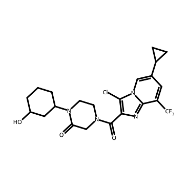 O=C(c1nc2c(C(F)(F)F)cc(C3CC3)cn2c1Cl)N1CCN(C2CCCC(O)C2)C(=O)C1